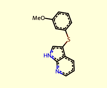 COc1cccc(Sc2c[nH]c3ncccc23)c1